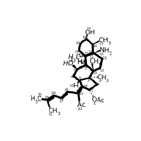 CC(=O)O[C@H]1C[C@@]2(C)[C@@H](C[C@@H](O)[C@@H]3[C@]2(C)CC[C@@]2(N)[C@H](C)[C@H](O)CC[C@]32C)/C1=C(\C=C\C=C(C)C)C(C)=O